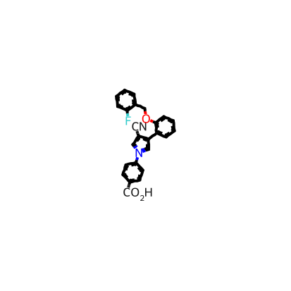 N#Cc1cn(-c2ccc(C(=O)O)cc2)cc1-c1ccccc1OCc1ccccc1F